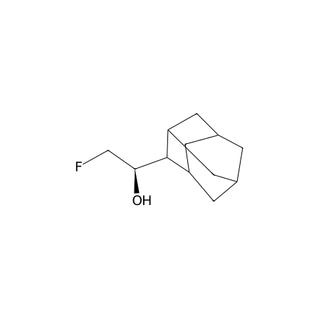 O[C@@H](CF)C1C2CC3CC(C2)CC1C3